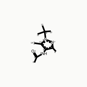 CC(=O)Nc1c(C)nn(C(C)(C)C)c1I